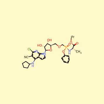 CC(C)OC(=O)[C@H](C)NP(=O)(COC[C@H]1O[C@@H](n2ccc3c(NC4CCCC4)c(C#N)c(Cl)nc32)[C@H](O)[C@@H]1O)Oc1ccccc1